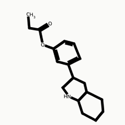 CCC(=O)Oc1cccc(C2CNC3CCCCC3C2)c1